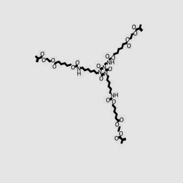 C=C(C)C(=O)OCCOC(=O)CCCCCOC(=O)NCCCCCCn1c(=O)n(CCCCCCNC(=O)OCCCCCC(=O)OCCOC(=O)C(=C)C)c(=O)n(CNC(=O)OCCCCCC(=O)OCCOC(=O)C(=C)C)c1=O